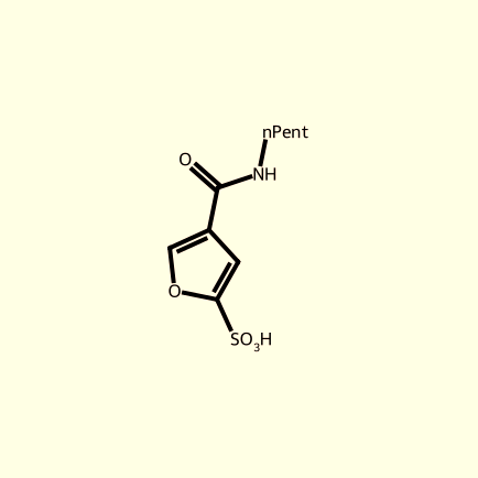 CCCCCNC(=O)c1coc(S(=O)(=O)O)c1